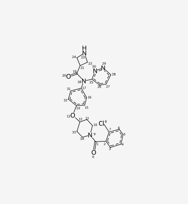 O=C(c1ccccc1Cl)N1CCC(Oc2ccc(N(C(=O)C3CNC3)c3cccnn3)cc2)CC1